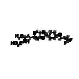 C[C@@H](CCc1ncc2nc(-c3ccc(OC[C@H]4CC4(F)F)cc3)oc2n1)NC(=O)O